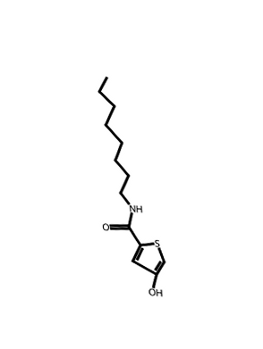 CCCCCCCCNC(=O)c1cc(O)cs1